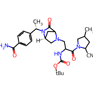 CC1CC(C#N)N(C(=O)C(CN2C[C@@H]3CC2C(=O)N3[C@@H](C)c2ccc(C(N)=O)cc2)NC(=O)OC(C)(C)C)C1